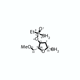 B[C@H]1CC(OP(B)(=O)CC)[C@@H](COC)O1